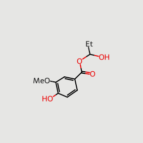 CCC(O)OC(=O)c1ccc(O)c(OC)c1